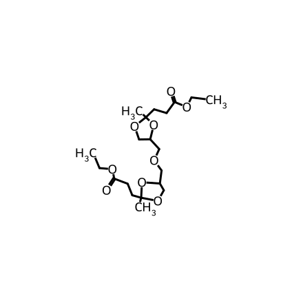 CCOC(=O)CCC1(C)OCC(COCC2COC(C)(CCC(=O)OCC)O2)O1